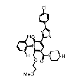 CCc1cccc(CC)c1-n1c(COCCOC)c(C(=O)N2CCNCC2)cc(-c2nc(-c3ccc(Cl)cc3)cs2)c1=O